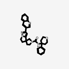 O=C(NC1(c2ccccc2)CCOCC1)N1CCC2(CCn3nc(-c4cnc5ccccc5c4)cc32)C1